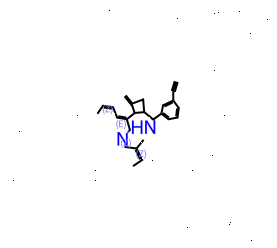 C#Cc1cccc(C(=N)C2CC(=C)C2/C(=C\C=C/C)C/N=C\C(C)=C/C)c1